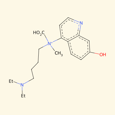 CCN(CC)CCCC[N+](C)(C(=O)O)c1ccnc2cc(O)ccc12